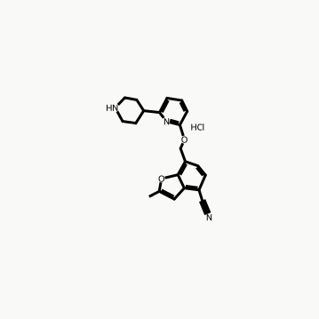 Cc1cc2c(C#N)ccc(COc3cccc(C4CCNCC4)n3)c2o1.Cl